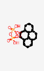 O=P(O)(O)OP(=O)(O)O.c1cc2ccc3cccc4ccc(c1)c2c34